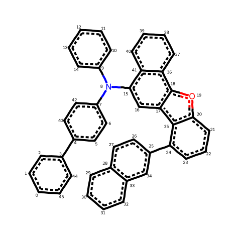 c1ccc(-c2ccc(N(c3ccccc3)c3cc4c(oc5cccc(-c6ccc7ccccc7c6)c54)c4ccccc34)cc2)cc1